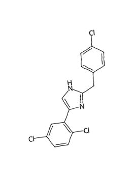 Clc1ccc(Cc2nc(-c3cc(Cl)ccc3Cl)c[nH]2)cc1